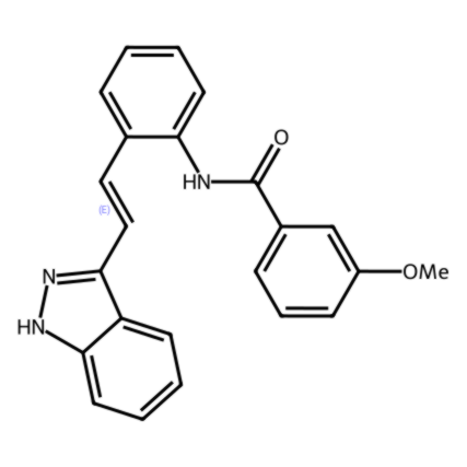 COc1cccc(C(=O)Nc2ccccc2/C=C/c2n[nH]c3ccccc23)c1